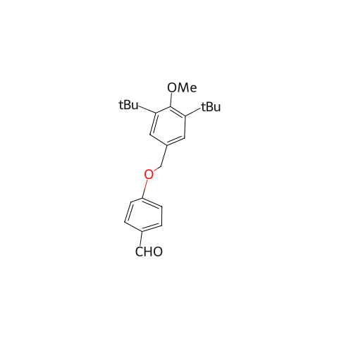 COc1c(C(C)(C)C)cc(COc2ccc(C=O)cc2)cc1C(C)(C)C